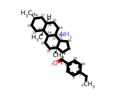 CCc1ccc(C(=O)[C@H]2CCC3[C@]4(N)CC[C@@H]5C[C@@H](C)CC[C@]5(C)C4CC[C@@]32C)cc1